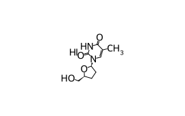 Cc1cn([C@H]2CC[C@@H](CO)O2)c(=O)[nH]c1=O.I